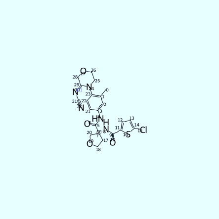 Cc1cc(NC(=O)[C@@]2(NC(=O)c3ccc(Cl)s3)CCOC2)ccc1N1CCOC/C1=N/C#N